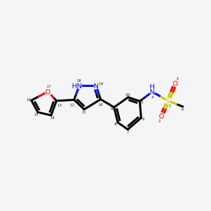 CS(=O)(=O)Nc1cccc(-c2cc(-c3ccco3)[nH]n2)c1